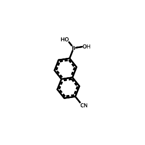 N#Cc1ccc2ccc(B(O)O)cc2c1